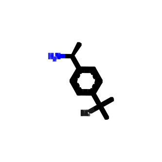 C[C@H](N)c1ccc(C(C)(C)C#N)cc1